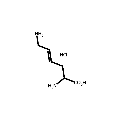 Cl.NC/C=C/CC(N)C(=O)O